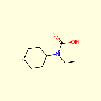 CCN(C(=O)O)C1CC[CH]CC1